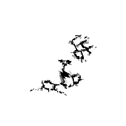 COc1ncc(-c2cc([C@H]3C[C@@H]3c3cc4c(cn3)C(C)(C)C(=O)N4CC(F)(F)F)c3nccn3n2)c(OC)n1